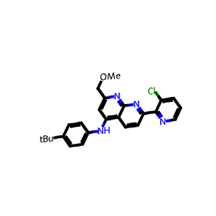 COCc1cc(Nc2ccc(C(C)(C)C)cc2)c2ccc(-c3ncccc3Cl)nc2n1